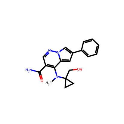 CN(c1c(C(N)=O)cnn2cc(-c3ccccc3)cc12)C1(CO)CC1